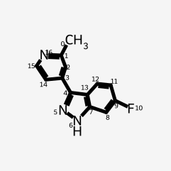 Cc1cc(-c2n[nH]c3cc(F)ccc23)ccn1